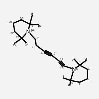 CC1(C)CCCC(C)(C)N1C#CC#CCCN1C(C)(C)CCCC1(C)C